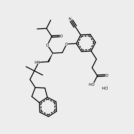 CC(C)C(=O)O[C@H](CNC(C)(C)CC1Cc2ccccc2C1)COc1cc(CCC(=O)O)ccc1C#N.Cl